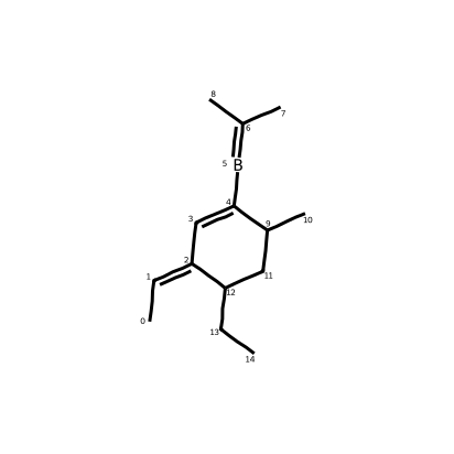 C/C=C1/C=C(B=C(C)C)C(C)CC1CC